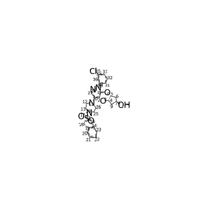 O=c1c(OC2CCC(O)C2)c(N2CCN(S(=O)(=O)Cc3ccccc3)CC2)cnn1-c1cccc(Cl)c1